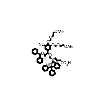 COCCOCOc1cc(C(ON=S2C=C(CC(=O)O)N=C2NC(c2ccccc2)(c2ccccc2)c2ccccc2)C(=O)OC(c2ccccc2)c2ccccc2)cc(C#N)c1OCOCCOC